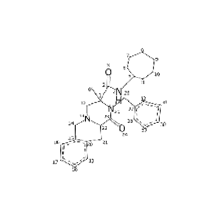 CC1(C(=O)NC2CCCCCC2)CN2Cc3ccccc3CC2C(=O)N1Cc1ccccc1